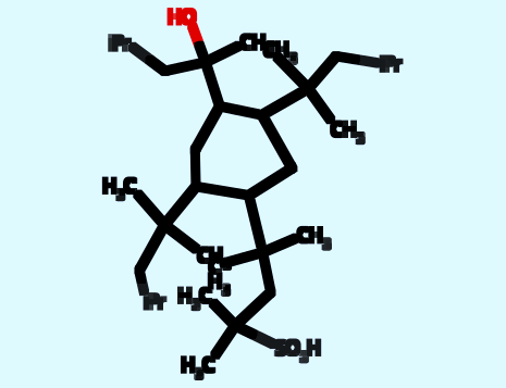 CC(C)CC(C)(C)C1CC(C(C)(O)CC(C)C)C(C(C)(C)CC(C)C)CC1C(C)(C)CC(C)(C)S(=O)(=O)O